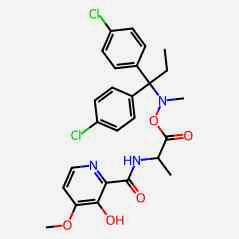 CCC(c1ccc(Cl)cc1)(c1ccc(Cl)cc1)N(C)OC(=O)C(C)NC(=O)c1nccc(OC)c1O